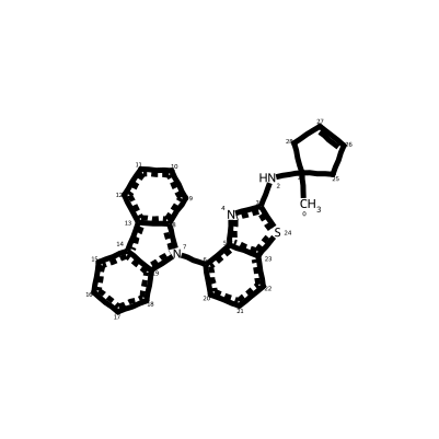 CC1(Nc2nc3c(-n4c5ccccc5c5ccccc54)cccc3s2)CC=CC1